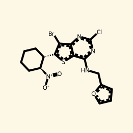 O=[N+]([O-])[C@H]1CCCC[C@@H]1c1sc2c(NCc3ccco3)nc(Cl)nc2c1Br